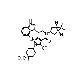 CC1(C)[C@@H]2C[C@@H](N(CCc3n[nH]c4cccc(Cl)c34)C(=O)c3cnn([C@H]4CC[C@](C)(C(=O)O)CC4)c3C(F)(F)F)C[C@@H]21